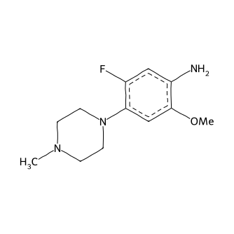 COc1cc(N2CCN(C)CC2)c(F)cc1N